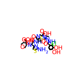 Nc1nc(/C(=N/OC2(C(=O)O)CCOCC2)C(=O)NC2C(=O)N3CC(C(=O)O)(N4CCN(NC(=O)c5ccc(O)c(O)c5Cl)C4=O)S[C@H]23)cs1